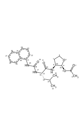 CC(=O)O[C@@H]1OCC[C@@H]1NC(=O)[C@H](CC(C)C)NC(=O)Nc1cccc2ccccc12